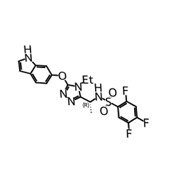 CCn1c(Oc2ccc3cc[nH]c3c2)nnc1[C@@H](C)NS(=O)(=O)c1cc(F)c(F)cc1F